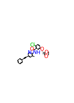 Cc1cc(C#Cc2ccccc2)cnc1NC(=O)c1cc(OC[C@H]2COCCO2)ccc1Cl